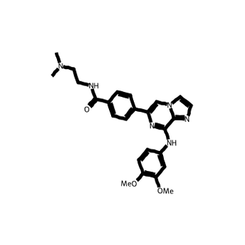 COc1ccc(Nc2nc(-c3ccc(C(=O)NCCN(C)C)cc3)cn3ccnc23)cc1OC